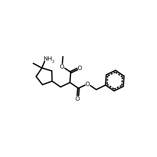 COC(=O)C(CC1CCC(C)(N)C1)C(=O)OCc1ccccc1